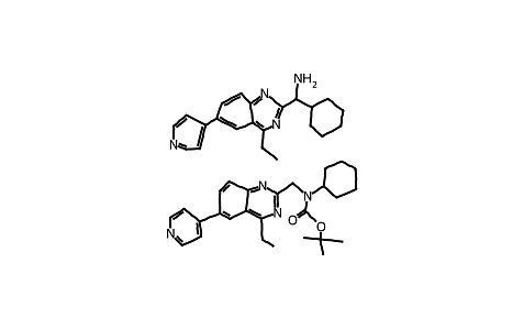 CCc1nc(C(N)C2CCCCC2)nc2ccc(-c3ccncc3)cc12.CCc1nc(CN(C(=O)OC(C)(C)C)C2CCCCC2)nc2ccc(-c3ccncc3)cc12